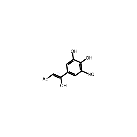 CC(=O)/C=C(\O)c1cc(O)c(O)c(N=O)c1